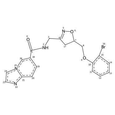 O=C(NCC1=NOC(COc2ccccc2Br)C1)c1ccc2nccn2c1